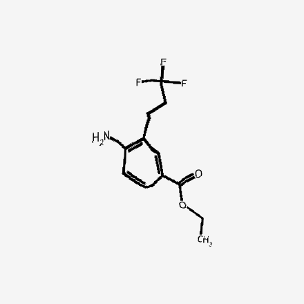 CCOC(=O)c1ccc(N)c(CCC(F)(F)F)c1